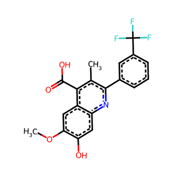 COc1cc2c(C(=O)O)c(C)c(-c3cccc(C(F)(F)F)c3)nc2cc1O